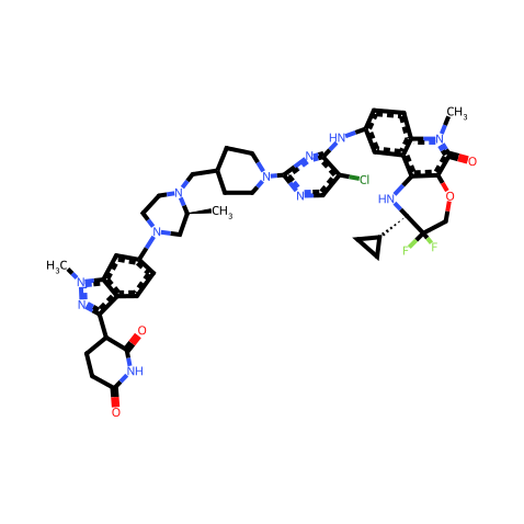 C[C@H]1CN(c2ccc3c(C4CCC(=O)NC4=O)nn(C)c3c2)CCN1CC1CCN(c2ncc(Cl)c(Nc3ccc4c(c3)c3c(c(=O)n4C)OCC(F)(F)[C@H](C4CC4)N3)n2)CC1